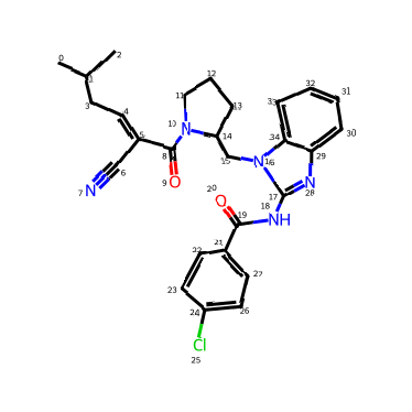 CC(C)C/C=C(\C#N)C(=O)N1CCCC1Cn1c(NC(=O)c2ccc(Cl)cc2)nc2ccccc21